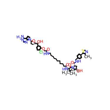 Cc1ncsc1-c1ccc(CNC(=O)[C@@H]2C[C@@H](O)CN2C(=O)[C@@H](NC(=O)CCCCCCCCCCNC(=O)COc2cc([C@@H](O)[C@@H]3CC[C@H](n4ccc5c(N)ncnc54)O3)ccc2Cl)C(C)(C)C)cc1